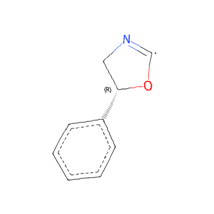 [C]1=NC[C@@H](c2ccccc2)O1